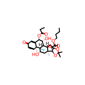 CCCCOC(=O)C(=O)[C@@]12OC(C)(C)O[C@@H]1C[C@H]1[C@@H]3[C@@H](O)[C@@H](OC(=O)CC)C4=CC(=O)C=C[C@]4(C)[C@@]3(F)[C@@H](O)C[C@@]12C